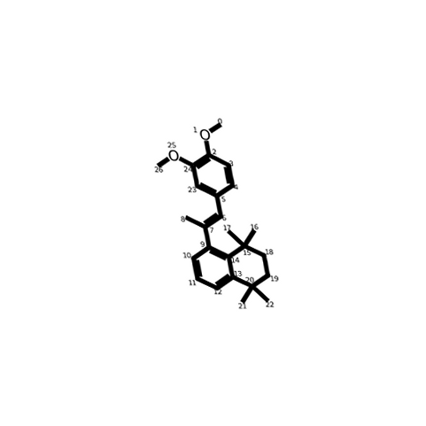 COc1ccc(C=C(C)c2cccc3c2C(C)(C)CCC3(C)C)cc1OC